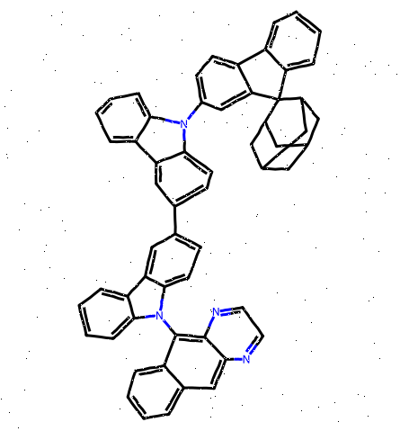 c1ccc2c(c1)-c1ccc(-n3c4ccccc4c4cc(-c5ccc6c(c5)c5ccccc5n6-c5c6ccccc6cc6nccnc56)ccc43)cc1C21C2CC3CC(C2)CC1C3